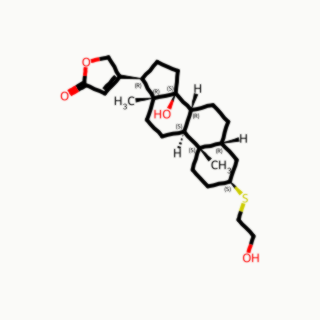 C[C@]12CC[C@H](SCCO)C[C@H]1CC[C@@H]1[C@@H]2CC[C@]2(C)[C@@H](C3=CC(=O)OC3)CC[C@]12O